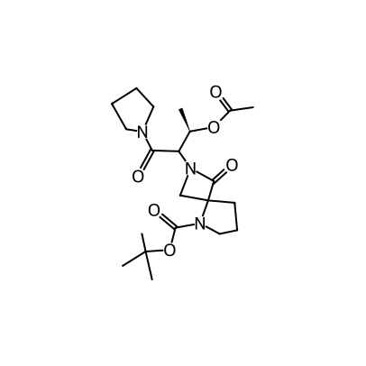 CC(=O)O[C@H](C)C(C(=O)N1CCCC1)N1CC2(CCCN2C(=O)OC(C)(C)C)C1=O